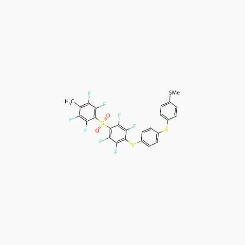 CSc1ccc(Sc2ccc(Sc3c(F)c(F)c(S(=O)(=O)c4c(F)c(F)c(C)c(F)c4F)c(F)c3F)cc2)cc1